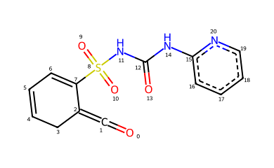 O=C=C1CC=CC=C1S(=O)(=O)NC(=O)Nc1ccccn1